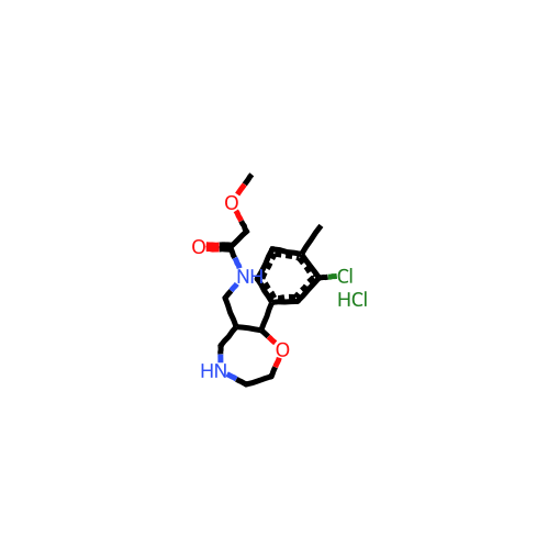 COCC(=O)NCC1CNCCOC1c1ccc(C)c(Cl)c1.Cl